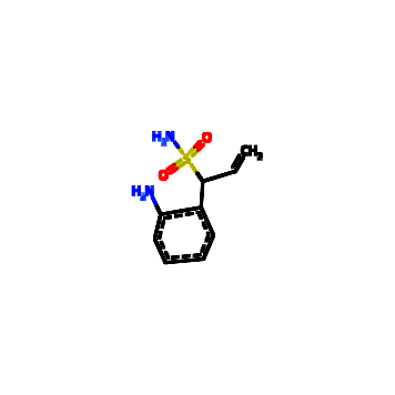 C=CC(c1ccccc1N)S(N)(=O)=O